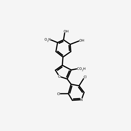 O=C(O)c1c(-c2cc(O)c(O)c([N+](=O)[O-])c2)coc1-c1c(Cl)cncc1Cl